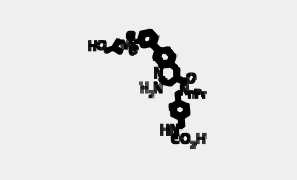 CCCN(Cc1ccc(CNC(=O)O)cc1)C(=O)C1=Cc2ccc(-c3cccc(S(=O)(=O)N4CC(CO)C4)c3)cc2N=C(N)C1